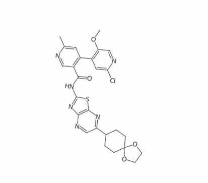 COc1cnc(Cl)cc1-c1cc(C)ncc1C(=O)Nc1nc2ncc(C3CCC4(CC3)OCCO4)nc2s1